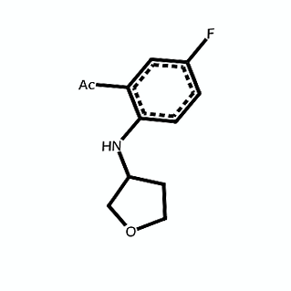 CC(=O)c1cc(F)ccc1NC1CCOC1